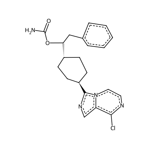 NC(=O)OC(Cc1ccccc1)[C@H]1CC[C@H](c2ncc3c(Cl)nccn32)CC1